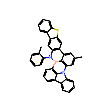 Cc1cc2c3c(c1)-n1c4ccccc4c4cccc(c41)B3N(c1ccccc1C)c1cc3c(cc1-2)sc1ccccc13